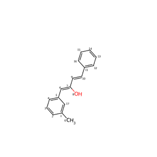 Cc1cccc(C=C(O)C=Cc2ccccc2)c1